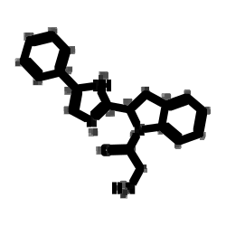 NCC(=O)N1c2ccccc2CC1c1ncc(-c2ccccc2)[nH]1